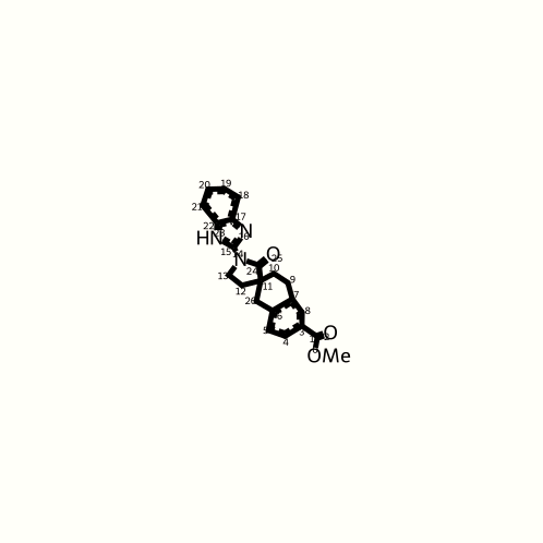 COC(=O)c1ccc2c(c1)CCC1(CCN(c3nc4ccccc4[nH]3)C1=O)C2